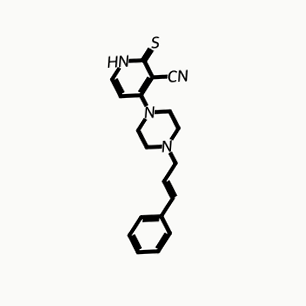 N#Cc1c(N2CCN(CC=Cc3ccccc3)CC2)cc[nH]c1=S